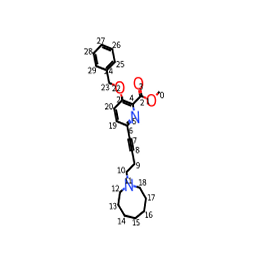 COC(=O)c1nc(C#CCCN2CCCCCCC2)ccc1OCc1ccccc1